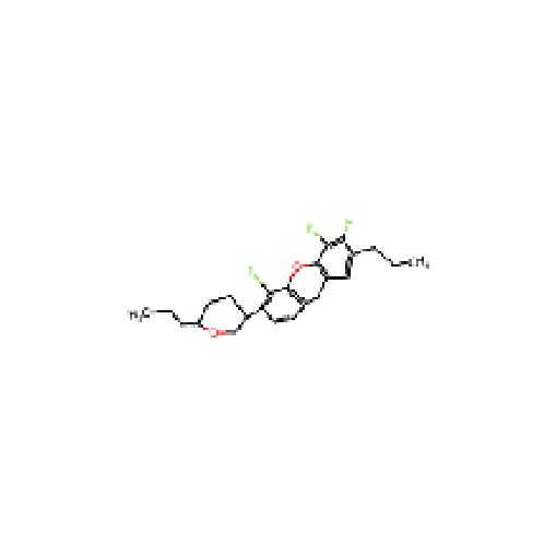 CCCc1cc2c(c(F)c1F)Oc1c(ccc(C3CCC(CCC)OC3)c1F)C2